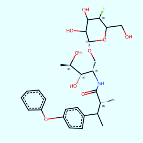 CC(c1ccc(Oc2ccccc2)cc1)[C@@H](C)C(=O)N[C@@H](CO[C@H]1OC(CO)[C@H](F)C(O)C1O)[C@H](O)[C@@H](C)O